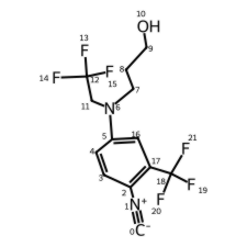 [C-]#[N+]c1ccc(N(CCCO)CC(F)(F)F)cc1C(F)(F)F